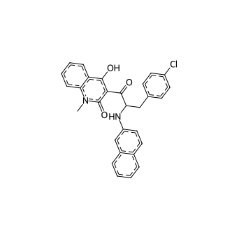 Cn1c(=O)c(C(=O)C(Cc2ccc(Cl)cc2)Nc2ccc3ccccc3c2)c(O)c2ccccc21